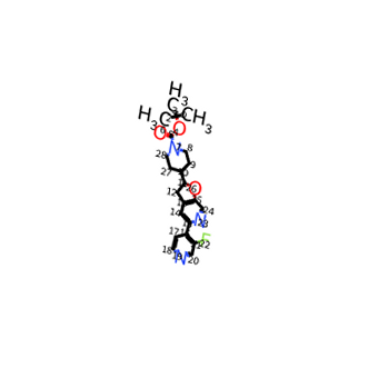 CC(C)(C)OC(=O)N1CCC(C2Cc3cc(-c4ccncc4F)ncc3O2)CC1